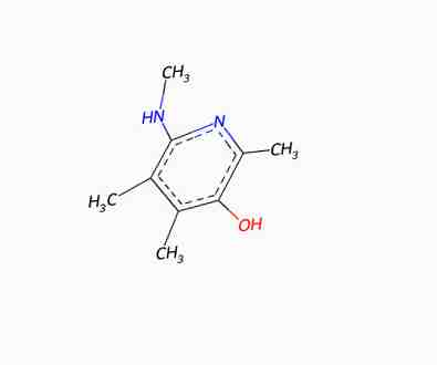 CNc1nc(C)c(O)c(C)c1C